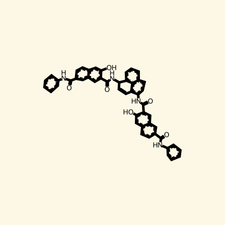 O=C(Nc1ccccc1)c1ccc2cc(O)c(C(=O)Nc3ccc4cccc5c4c3C=CC5NC(=O)c3cc4cc(C(=O)Nc5ccccc5)ccc4cc3O)cc2c1